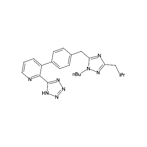 CCCCn1nc(CC(C)C)nc1Cc1ccc(-c2cccnc2-c2nnn[nH]2)cc1